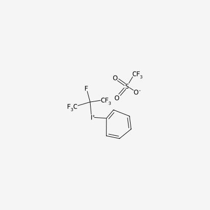 FC(F)(F)C(F)([I+]c1ccccc1)C(F)(F)F.O=S(=O)([O-])C(F)(F)F